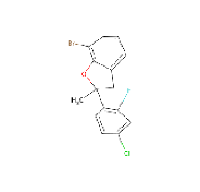 CC1(c2ccc(Cl)cc2F)Cc2cccc(Br)c2O1